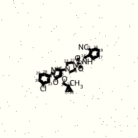 CC1(COc2c(N3CCN(S(=O)(=O)NCc4ccccc4C#N)CC3)cnn(-c3cccc(Cl)c3)c2=O)CC1